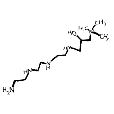 C[N+](C)(C)CC(O)CNCCNCCNCCN